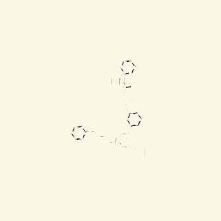 CCCN(CCCCc1ccccc1)CCc1cccc(COCC(=O)Nc2ccccc2)c1